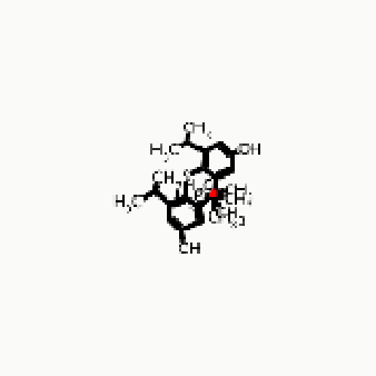 CC(C)c1cc(O)cc(C(C)(C)C)c1Sc1c(C(C)C)cc(O)cc1C(C)(C)C